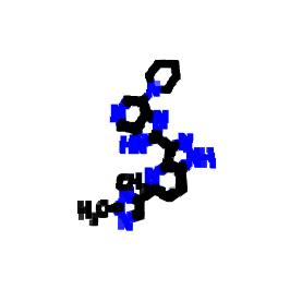 Cc1ncc(-c2ccc3[nH]nc(-c4nc5c(N6CCCCC6)cncc5[nH]4)c3n2)n1C